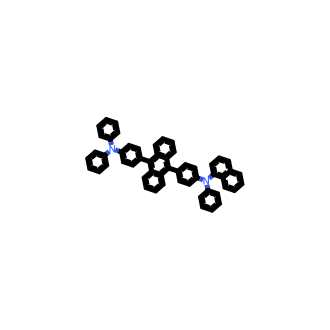 c1ccc(N(c2ccccc2)c2ccc(-c3c4ccccc4c(-c4ccc(N(c5ccccc5)c5cccc6ccccc56)cc4)c4ccccc34)cc2)cc1